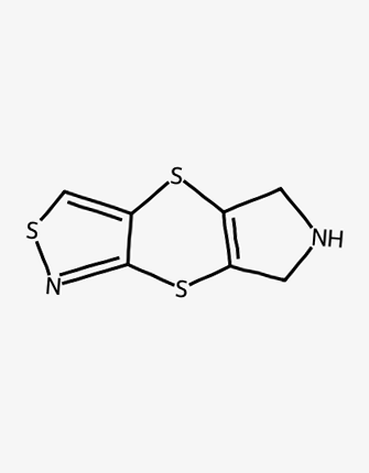 c1snc2c1SC1=C(CNC1)S2